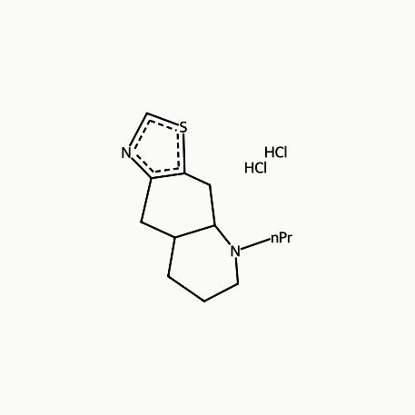 CCCN1CCCC2Cc3ncsc3CC21.Cl.Cl